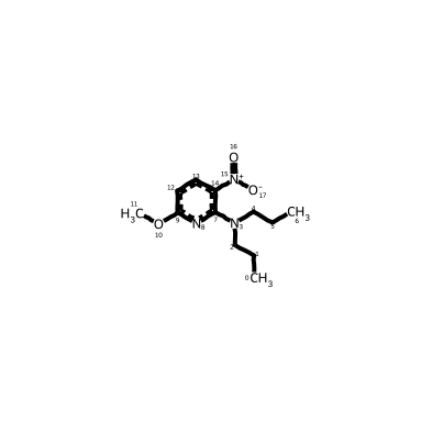 CCCN(CCC)c1nc(OC)ccc1[N+](=O)[O-]